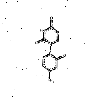 Nc1ccn(-n2ccc(=O)[nH]c2=O)c(=O)n1